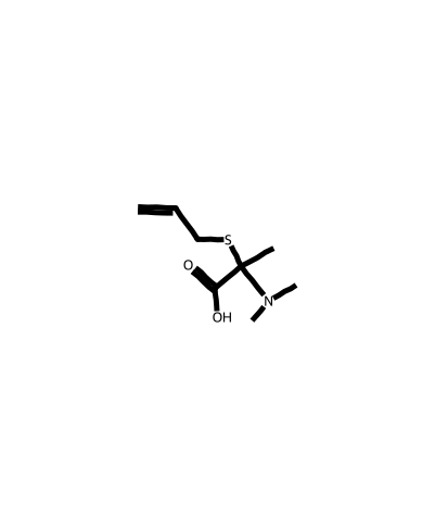 C=CCSC(C)(C(=O)O)N(C)C